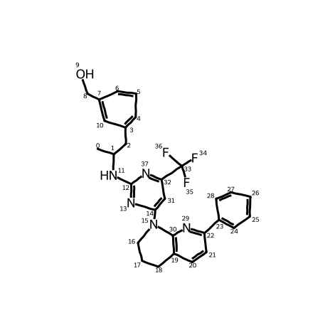 CC(Cc1cccc(CO)c1)Nc1nc(N2CCCc3ccc(-c4ccccc4)nc32)cc(C(F)(F)F)n1